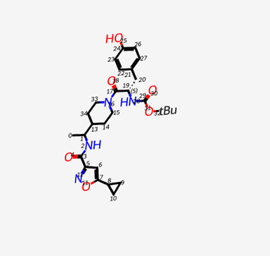 CC(NC(=O)c1cc(C2CC2)on1)C1CCN(C(=O)[C@H](Cc2ccc(O)cc2)NC(=O)OC(C)(C)C)CC1